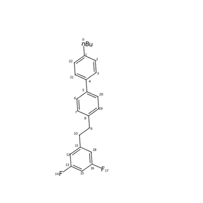 CCCCc1ccc(-c2ccc(CCc3cc(F)cc(F)c3)cc2)cc1